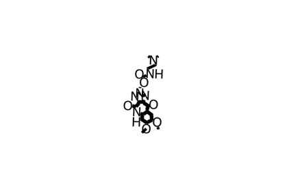 COc1cc2[nH]c(=O)c3nn(COC(=O)NCCN(C)C)nc3c(=O)c2cc1OC